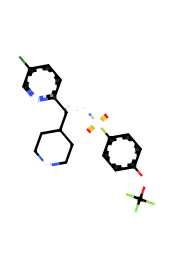 O=S(=O)(N[C@@H](c1ccc(Cl)cn1)C1CCNCC1)c1ccc(OC(F)(F)F)cc1